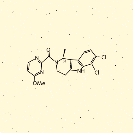 COc1ccnc(C(=O)N2CCc3[nH]c4c(Cl)c(Cl)ccc4c3[C@@H]2C)n1